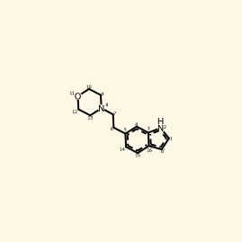 [c]1c[nH]c2cc(CCN3CCOCC3)ccc12